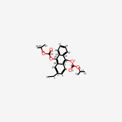 CCc1ccc2c(OC(=O)OC(C)C)c3ccccc3c(OC(=O)OC(C)C)c2c1